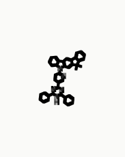 CC1(C)c2ccccc2-c2cc3c4ccccc4n(-c4ccc(C5=NC(c6ccccc6)NC(c6ccccc6)=N5)cn4)c3cc21